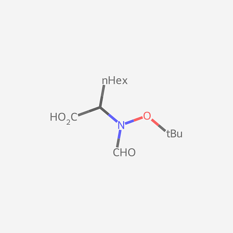 CCCCCCC(C(=O)O)N(C=O)OC(C)(C)C